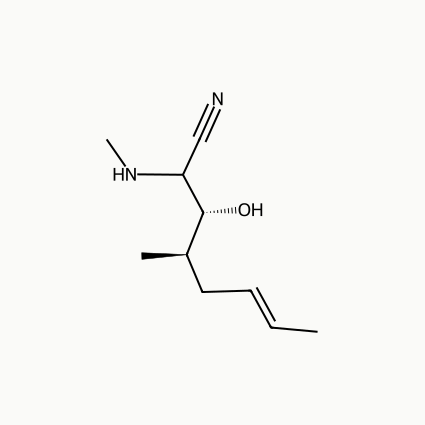 CC=CC[C@@H](C)[C@@H](O)C(C#N)NC